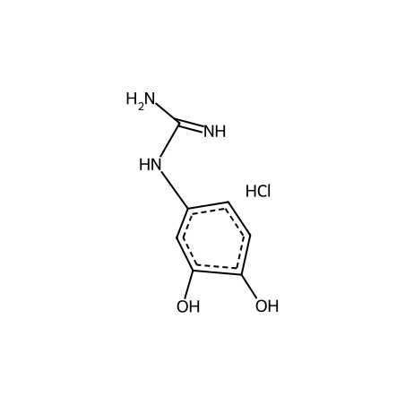 Cl.N=C(N)Nc1ccc(O)c(O)c1